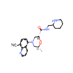 C[C@@H]1CN(c2ccc(C#N)c3ncccc23)C[C@H](C(=O)NCC2CCCCN2)O1